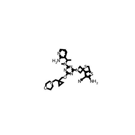 CC(c1cccnc1N)N(C)c1nc(OCC2(CN3CCOCC3)CC2)nc(N2CC3(C2)SCc2sc(N)c(C#N)c23)n1